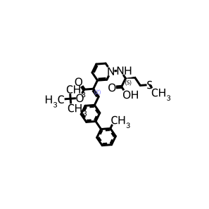 CSCC[C@H](NN1C=C(/C(=C/c2cccc(-c3ccccc3C)c2)C(=O)OC(C)(C)C)C=CC1)C(=O)O